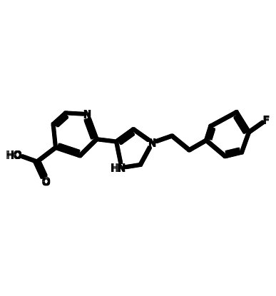 O=C(O)c1ccnc(C2=CN(CCc3ccc(F)cc3)CN2)c1